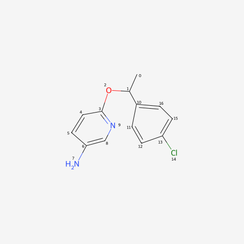 CC(Oc1ccc(N)cn1)c1ccc(Cl)cc1